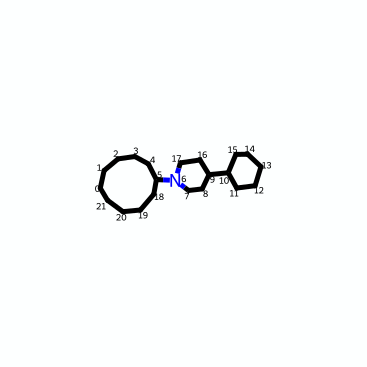 C1CCCCC(N2CCC(C3CCCCC3)CC2)CCCC1